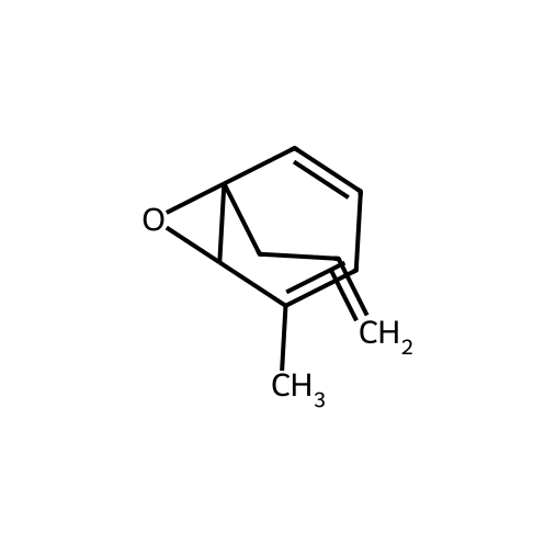 C=CCC12C=CC=C(C)C1O2